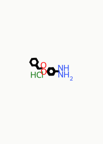 Cl.N=C(N)c1ccc(OC(=O)C=C2CCCCC2)cc1